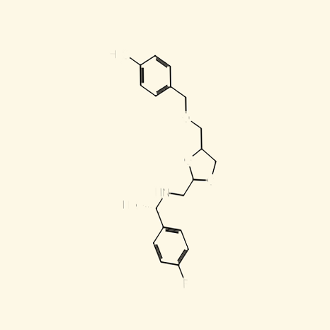 Cc1ccc(COCC2COC(CN[C@@H](C)c3ccc(F)cc3)O2)cc1